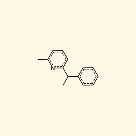 Cc1cccc(C(C)c2ccccc2)n1